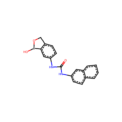 O=C(Nc1ccc2c(c1)B(O)OC2)Nc1ccc2ccccc2c1